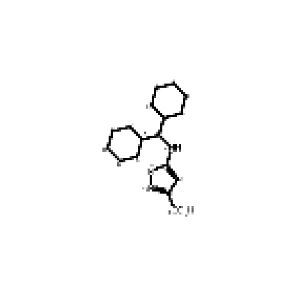 O=C(O)c1cc(NC(C2CCCCC2)C2CCCCC2)[nH]n1